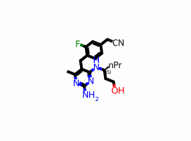 CCC[C@@H](CCO)Nc1nc(N)nc(C)c1Cc1ccc(CC#N)cc1F